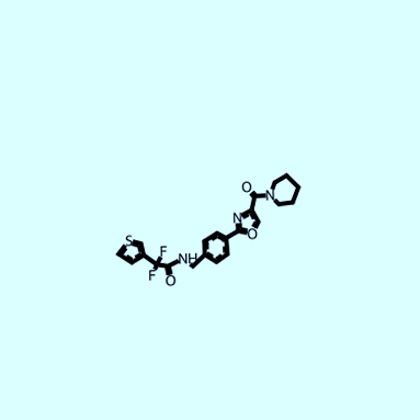 O=C(c1coc(-c2ccc(CNC(=O)C(F)(F)c3ccsc3)cc2)n1)N1CCCCC1